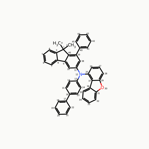 CC1(C)c2ccccc2-c2cc(N(c3ccc(-c4ccccc4)cc3)c3cccc4oc5ccccc5c34)cc(-c3ccccc3)c21